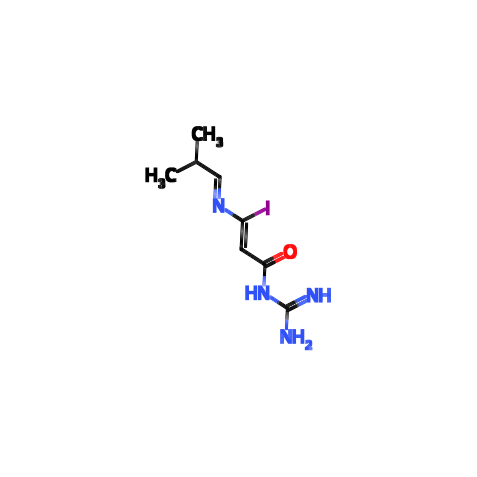 CC(C)/C=N/C(I)=C/C(=O)NC(=N)N